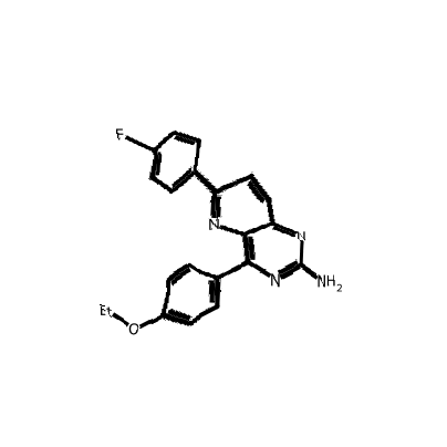 CCOc1ccc(-c2nc(N)nc3ccc(-c4ccc(F)cc4)nc23)cc1